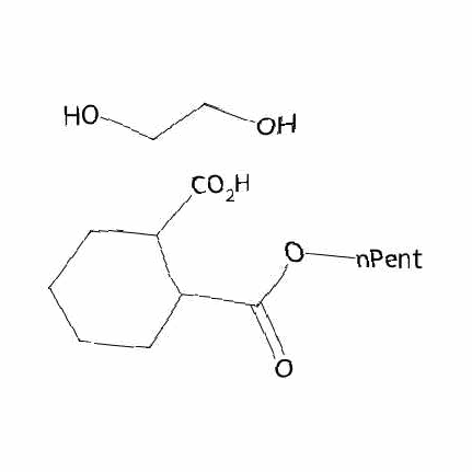 CCCCCOC(=O)C1CCCCC1C(=O)O.OCCO